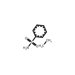 CC.NS(=O)(=O)c1ccccc1